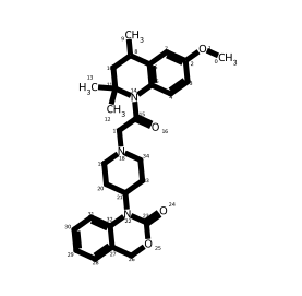 COc1ccc2c(c1)C(C)CC(C)(C)N2C(=O)CN1CCC(N2C(=O)OCc3ccccc32)CC1